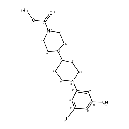 CC(C)(C)OC(=O)N1CCC(C2CCN(c3cc(F)cc(C#N)c3)CC2)CC1